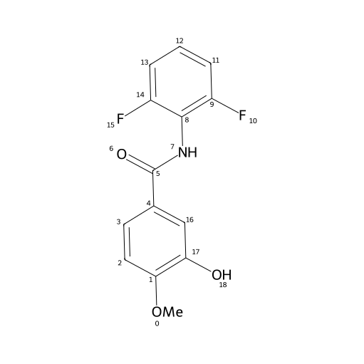 COc1ccc(C(=O)Nc2c(F)cccc2F)cc1O